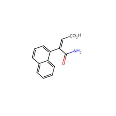 NC(=O)/C(=C\C(=O)O)c1cccc2ccccc12